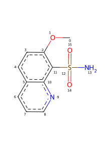 COc1ccc2cccnc2c1S(N)(=O)=O